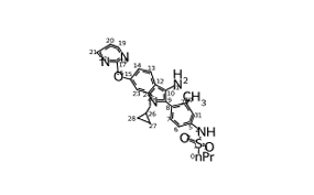 CCCS(=O)(=O)Nc1ccc(-c2c(N)c3ccc(Oc4ncccn4)cc3n2C2CC2)c(C)c1